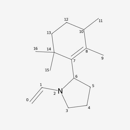 C=CN1CCCC1C1=C(C)C(C)CCC1(C)C